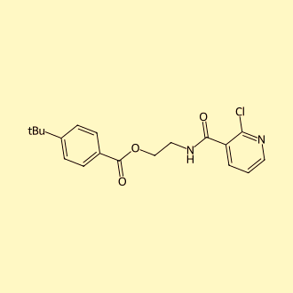 CC(C)(C)c1ccc(C(=O)OCCNC(=O)c2cccnc2Cl)cc1